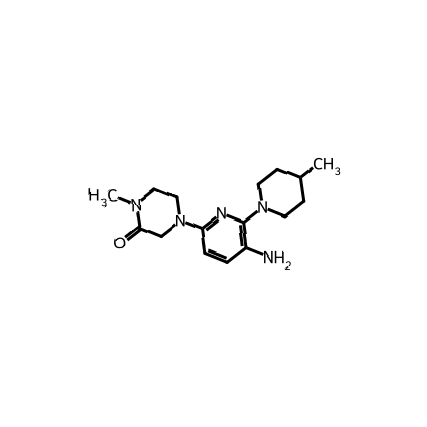 CC1CCN(c2nc(N3CCN(C)C(=O)C3)ccc2N)CC1